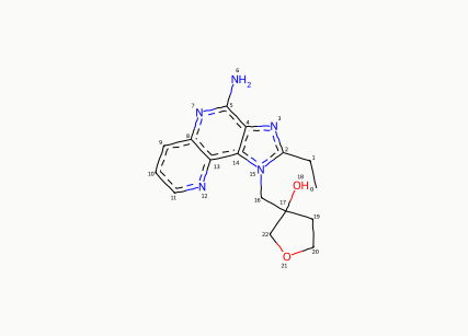 CCc1nc2c(N)nc3cccnc3c2n1CC1(O)CCOC1